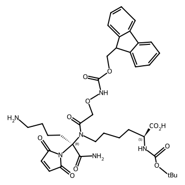 CC(C)(C)OC(=O)N[C@@H](CCCCN(C(=O)CONC(=O)OCC1c2ccccc2-c2ccccc21)[C@@](CCCCN)(C(N)=O)N1C(=O)C=CC1=O)C(=O)O